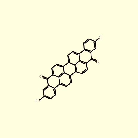 O=C1c2cc(Cl)ccc2-c2ccc3c4ccc5c6c(ccc(c7ccc1c2c73)c64)-c1ccc(Cl)cc1C5=O